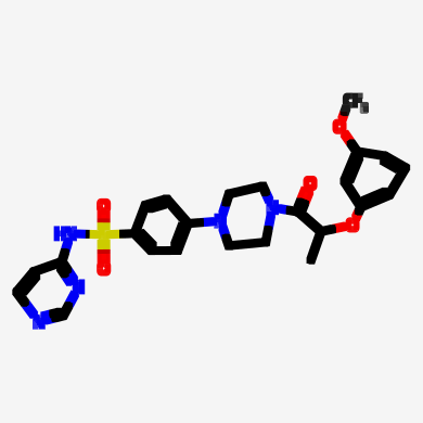 CC(Oc1cccc(OC(F)(F)F)c1)C(=O)N1CCN(c2ccc(S(=O)(=O)Nc3ccncn3)cc2)CC1